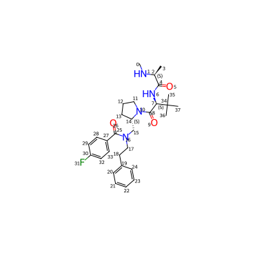 CN[C@@H](C)C(=O)N[C@H](C(=O)N1CCC[C@H]1CN(CCc1ccccc1)C(=O)c1ccc(F)cc1)C(C)(C)C